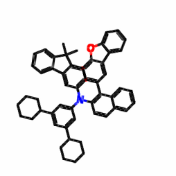 CC1(C)c2ccccc2-c2cc(N(c3cc(C4CCCCC4)cc(C4CCCCC4)c3)c3ccc4ccccc4c3-c3ccc4oc5ccccc5c4c3)ccc21